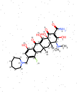 CN(C)[C@@H]1C(O)=C(C(N)=O)C(=O)[C@@]2(O)C(O)=C3C(=O)c4c(O)cc(CN5CCCCCC5)c(F)c4C[C@H]3C[C@@H]12